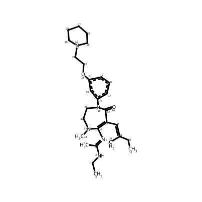 CCN/C(C)=N/C1=C(/C=C(\C)CC)C(=O)N(c2cccc(OCCN3CCCCC3)c2)CCN1C